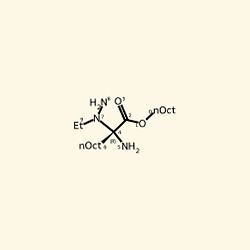 CCCCCCCCOC(=O)[C@@](N)(CCCCCCCC)N(N)CC